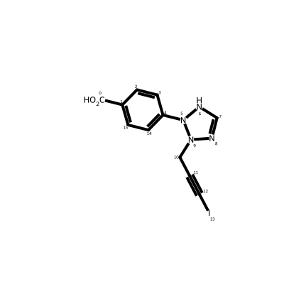 O=C(O)c1ccc(N2NC=NN2CC#CI)cc1